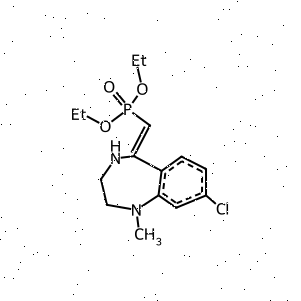 CCOP(=O)(/C=C1\NCCN(C)c2cc(Cl)ccc21)OCC